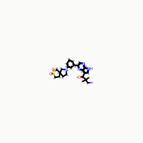 CC(C)(CI)C(=O)c1c[nH]c2ncc(-c3cccc(N4CCC5(CCS(=O)(=O)C5)C4)c3)nc12